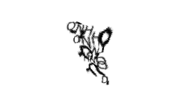 CCOCCC(=O)C(CC(C)C)NC(=O)[C@H](Cc1ccccc1)NC(=O)C(CC(C)C)NC(=O)CN1CCOCC1